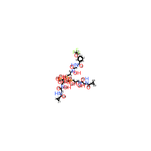 O=C(NCC(=O)N(O)CCCP(=O)(OC(CCN(O)C(=O)CNC(=O)C1CC1)P(=O)(O)O)OP(=O)(O)CCCN(O)C(=O)CNC(=O)C1CC1)c1cccc(OC(F)(F)F)c1